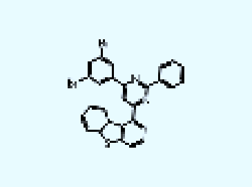 Brc1cc(Br)cc(-c2cc(-c3cccc4c3C3C=CC=CC3S4)nc(-c3ccccc3)n2)c1